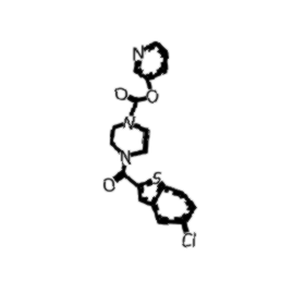 O=C(Oc1cccnc1)N1CCN(C(=O)c2cc3cc(Cl)ccc3s2)CC1